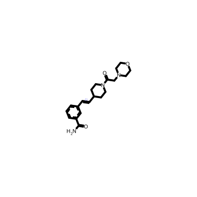 NC(=O)c1cccc(/C=C/C2CCN(C(=O)CN3CCOCC3)CC2)c1